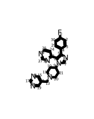 Fc1ccc(-c2ncn(C3CCN(Cc4cncnc4)CC3)c2-c2ccncn2)cc1